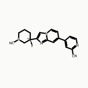 N#Cc1cc(-c2ccn3cc([C@@]4(F)CCCN(C#N)C4)nc3c2)ccn1